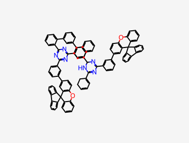 C1=CCCC(C2=NC(c3cccc(-c4ccc5c(c4)C4(c6ccccc6O5)c5ccccc5-c5ccccc54)c3)=NC(c3ccc(-c4cccc(-c5ccccc5-c5nc(-c6cccc(-c7ccc8c(c7)C7(c9ccccc9O8)c8ccccc8-c8ccccc87)c6)nc(-c6ccc7ccccc7c6)n5)c4)cc3)N2)=C1